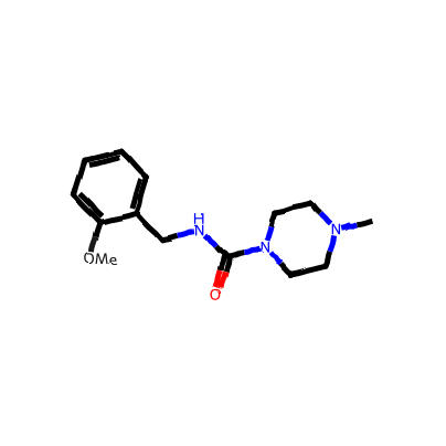 COc1ccccc1CNC(=O)N1CCN(C)CC1